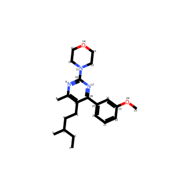 CCC(C)CCc1c(C)nc(N2CCOCC2)nc1-c1cccc(OC)c1